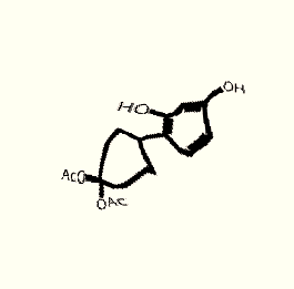 CC(=O)OC1(OC(C)=O)CCC(c2ccc(O)cc2O)CC1